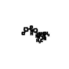 Cc1ncn(C)c1-c1nnc([C@@H]2CCC[C@H](NC(=O)c3cccc(Cl)c3)C2)[nH]1